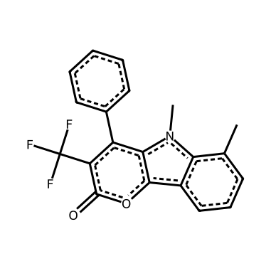 Cc1cccc2c3oc(=O)c(C(F)(F)F)c(-c4ccccc4)c3n(C)c12